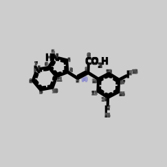 O=C(O)/C(=C\c1c[nH]c2ncccc12)c1cc(F)cc(F)c1